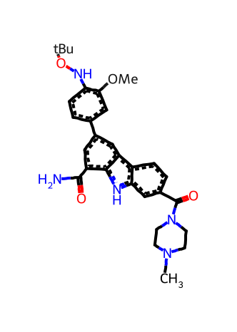 COc1cc(-c2cc(C(N)=O)c3[nH]c4cc(C(=O)N5CCN(C)CC5)ccc4c3c2)ccc1NOC(C)(C)C